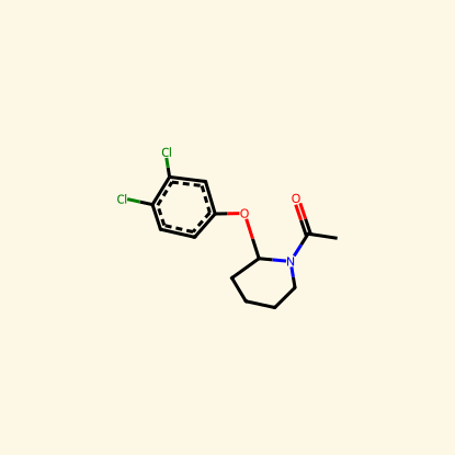 CC(=O)N1CCCCC1Oc1ccc(Cl)c(Cl)c1